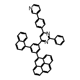 c1ccc(-c2nc(-c3ccc(-c4cccnc4)cc3)cc(-c3cc(-c4cccc5ccccc45)cc(-c4cc5cccc6ccc7cccc4c7c65)c3)n2)cc1